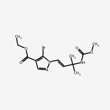 CCOC(=O)c1cnn(/C=C/C(C)(C)NC(=O)OC)c1Br